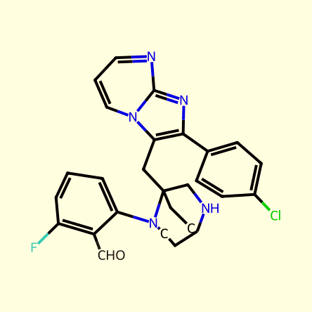 O=Cc1c(F)cccc1N1CCC2CCC1(Cc1c(-c3ccc(Cl)cc3)nc3ncccn13)CN2